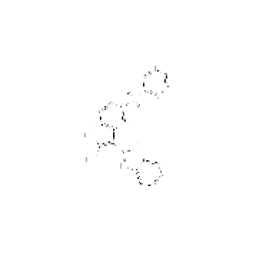 O=S(=O)(c1cccnc1)c1ccc2[nH]c(O)c(-c3nc4ccccc4o3)c2c1